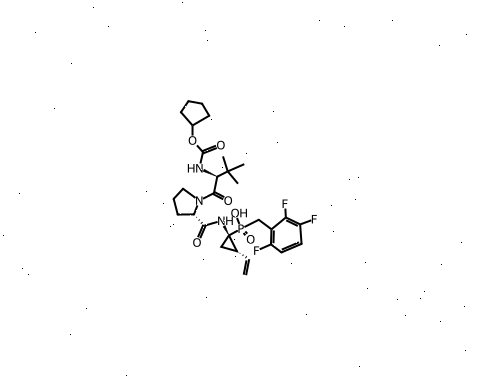 C=C[C@@H]1C[C@]1(NC(=O)[C@@H]1CCCN1C(=O)[C@@H](NC(=O)OC1CCCC1)C(C)(C)C)P(=O)(O)Cc1c(F)ccc(F)c1F